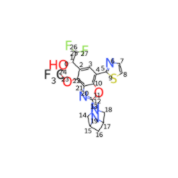 O[C@@H](c1cc(-c2nccs2)c2oc(N3CC4CC(C3)N4)nc2c1OC(F)(F)F)C(F)F